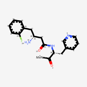 CNC(=O)[C@@H](Cc1cccnc1)NC(=O)C[C@H](N)Cc1ccccc1F